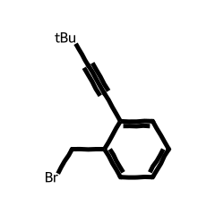 CC(C)(C)C#Cc1ccccc1CBr